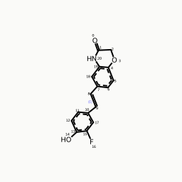 O=C1COc2ccc(/C=C/c3ccc(O)c(F)c3)cc2N1